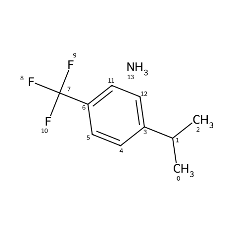 CC(C)c1ccc(C(F)(F)F)cc1.N